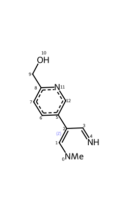 CN/C=C(\C=N)c1ccc(CO)nc1